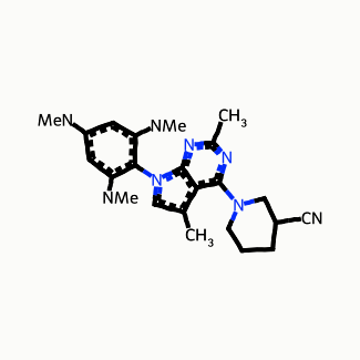 CNc1cc(NC)c(-n2cc(C)c3c(N4CCCC(C#N)C4)nc(C)nc32)c(NC)c1